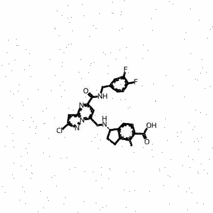 Cc1c(C(=O)O)ccc2c1CC[C@@H]2NCc1cc(C(=O)NCc2ccc(F)c(F)c2)nc2cc(Cl)nn12